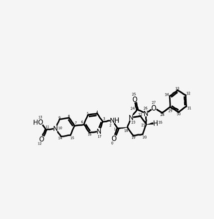 O=C(Nc1ccc(C2=CCN(C(=O)O)CC2)cn1)[C@@H]1CC[C@@H]2CN1C(=O)N2OCc1ccccc1